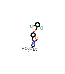 CCC1(C(=O)O)CN([C@@H]2COc3cc(OCc4c(Cl)cccc4Cl)ccc3C2)C1